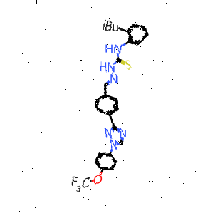 CCC(C)c1ccccc1NC(=S)NN=Cc1ccc(-c2ncn(-c3ccc(OC(F)(F)F)cc3)n2)cc1